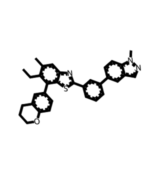 CCc1c(C)cc2nc(-c3cccc(-c4ccc5c(cnn5C)c4)c3)sc2c1-c1ccc2c(c1)CCCO2